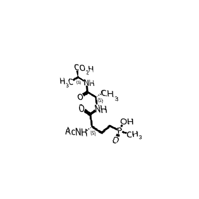 CC(=O)N[C@@H](CCP(C)(=O)O)C(=O)N[C@@H](C)C(=O)N[C@@H](C)C(=O)O